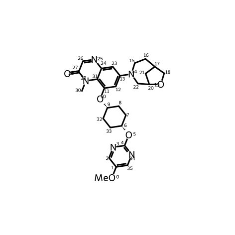 COc1cnc(O[C@H]2CC[C@@H](Oc3cc(N4CCC5COC(C5)C4)cc4ncc(=O)n(C)c34)CC2)nc1